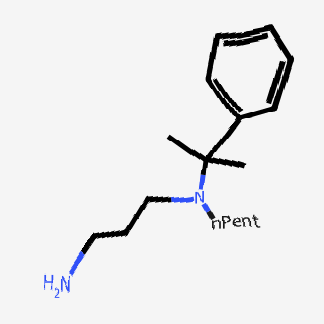 CCCCCN(CCCN)C(C)(C)c1ccccc1